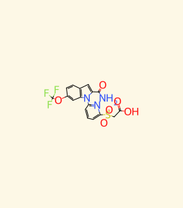 NC(=O)c1cc2ccc(OC(F)(F)F)cc2n1-c1cccc(S(=O)(=O)CC(=O)O)n1